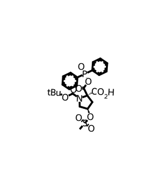 CC(C)(C)OC(=O)N1C[C@H](OS(C)(=O)=O)C[C@]1(C(=O)O)C(=O)OP(=O)(c1ccccc1)c1ccccc1